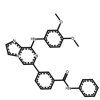 COc1ccc(Nc2nc(-c3cccc(C(=O)Nc4ccccc4)c3)cn3ccnc23)cc1OC